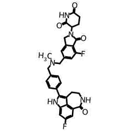 CN(Cc1ccc(-c2[nH]c3cc(F)cc4c3c2CCNC4=O)cc1)Cc1cc(F)c2c(c1)CN(C1CCC(=O)NC1=O)C2=O